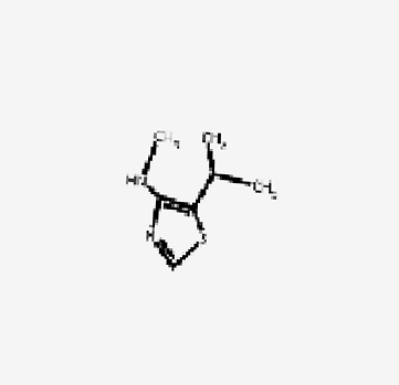 CNc1ncsc1C(C)C